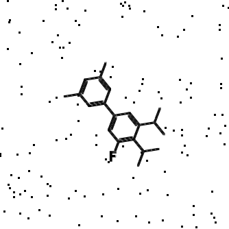 Cc1cc(C)cc(-c2cc(F)c(C(C)C)c(C(C)C)c2)c1